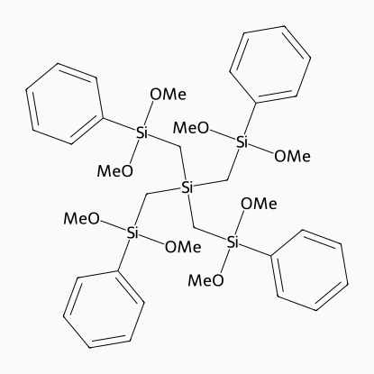 CO[Si](C[Si](C[Si](OC)(OC)c1ccccc1)(C[Si](OC)(OC)c1ccccc1)C[Si](OC)(OC)c1ccccc1)(OC)c1ccccc1